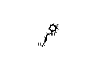 CC#CCNC1CCCC(F)(F)C1